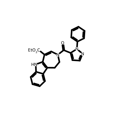 CCOC(=O)C1=CN(C(=O)c2ccnn2-c2ccccc2)CCc2c1[nH]c1ccccc21